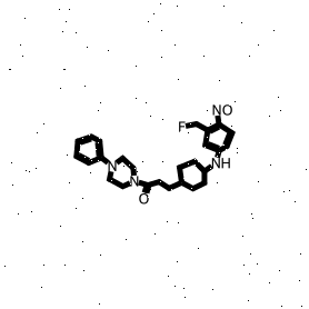 O=Nc1ccc(NC2CCC(CCC(=O)N3CCN(c4ccccc4)CC3)CC2)cc1CF